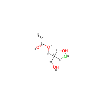 C=CC(=O)OCC(CO)(CO)CCl